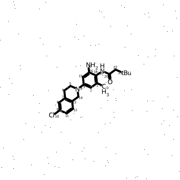 Cc1cc(N2CCc3cc(Cl)ccc3C2)cc(N)c1NC(=O)CC(C)(C)C